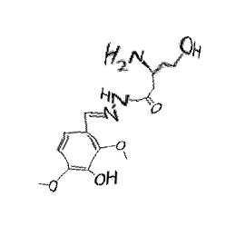 COc1ccc(C=NNC(=O)[C@@H](N)CO)c(OC)c1O